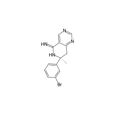 C[C@@]1(c2cccc(Br)c2)Cc2ncncc2C(=N)N1